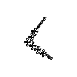 O=[As]([O-])([O-])F.O=[As]([O-])([O-])F.O=[As]([O-])([O-])F.O=[As]([O-])([O-])F.O=[As]([O-])([O-])F.O=[As]([O-])([O-])F.[K+].[K+].[K+].[K+].[K+].[K+].[K+].[K+].[K+].[K+].[K+].[K+]